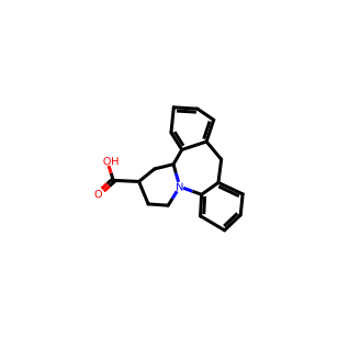 O=C(O)C1CCN2c3ccccc3Cc3ccccc3C2C1